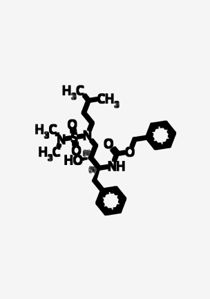 CC(C)CCN(C[C@@H](O)[C@H](Cc1ccccc1)NC(=O)OCc1ccccc1)S(=O)(=O)N(C)C